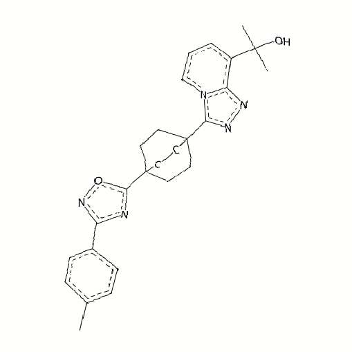 Cc1ccc(-c2noc(C34CCC(c5nnc6c(C(C)(C)O)cccn56)(CC3)CC4)n2)cc1